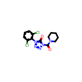 O=C(N1CCCCC1)n1nnn(-c2c(Cl)cccc2Cl)c1=O